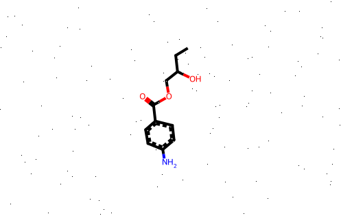 CCC(O)COC(=O)c1ccc(N)cc1